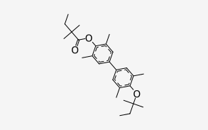 CCC(C)(C)Oc1c(C)cc(-c2cc(C)c(OC(=O)C(C)(C)CC)c(C)c2)cc1C